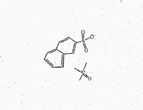 C[S+](C)(C)=O.O=S(=O)([O-])c1ccc2ccccc2c1